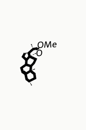 COC(=O)[C@@H](C)[C@H]1CCC2C3CC=C4C[C@@H](C)CC[C@]4(C)C3CC[C@@]21C